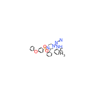 Cc1ccccc1N/C(=N\C#N)N1CCN(S(=O)(=O)c2ccc(Oc3ccccc3)cc2)C(c2ccccc2)C1